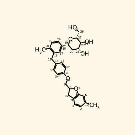 Cc1ccc2c(c1)OC(COc1ccc(Cc3cc([C@H]4C[C@@H](O)[C@H](O)[C@@H](CO)O4)ccc3C)cc1)C2